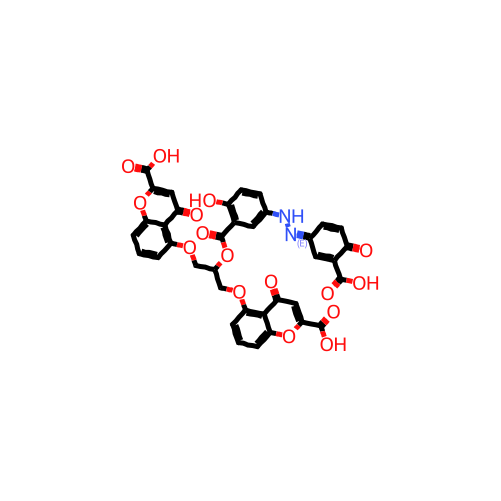 O=C(O)C1=C/C(=N/Nc2ccc(O)c(C(=O)OC(COc3cccc4oc(C(=O)O)cc(=O)c34)COc3cccc4oc(C(=O)O)cc(=O)c34)c2)C=CC1=O